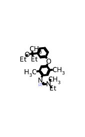 CCOC(C)(CC)c1cccc(Oc2cc(C)c(/N=C\N(C)CC)cc2C)c1